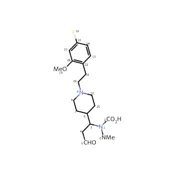 CNN(C(=O)O)C(CC=O)C1CCN(CCc2ccc(F)cc2OC)CC1